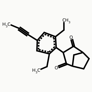 CC#Cc1cc(CC)c(C2C(=O)C3CCC(C3)C2=O)c(CC)c1